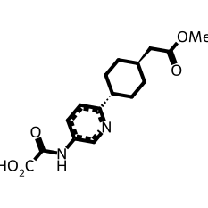 COC(=O)C[C@H]1CC[C@H](c2ccc(NC(=O)C(=O)O)cn2)CC1